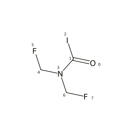 O=C(I)N(CF)CF